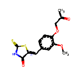 COc1cc(/C=C2\SC(=S)NC2=O)ccc1OCC(C)=O